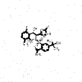 Cc1ccc(F)c([C@@H](C)[C@H](NS(=O)(=O)c2cc(C(C)(C)O)ccc2C(N)=O)c2n[nH]c(=O)o2)c1C